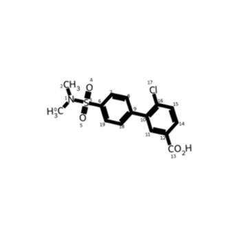 CN(C)S(=O)(=O)c1ccc(-c2cc(C(=O)O)ccc2Cl)cc1